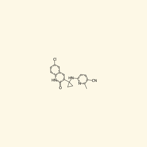 Cc1nc(NC2(c3cc4cc(Cl)ccc4[nH]c3=O)CC2)ccc1C#N